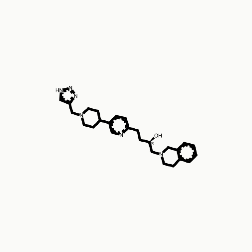 O[C@@H]([CH]N1CCc2ccccc2C1)CCc1ccc(C2CCN(Cc3c[nH]nn3)CC2)cn1